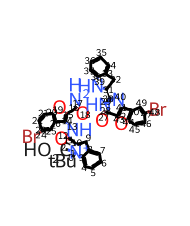 CC(C)(C)[N+]1(C(=O)O)c2ccccc2CC1C(=O)Nc1c(C(N)=O)oc2ccc(Br)cc12.O=c1[nH]c([C@@H]2Cc3ccccc3N2)nc2c1oc1ccc(Br)cc12